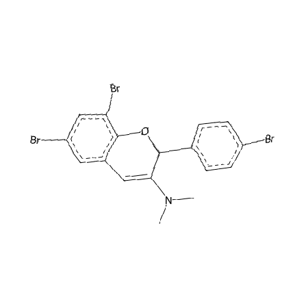 CN(C)C1=Cc2cc(Br)cc(Br)c2OC1c1ccc(Br)cc1